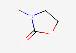 O=C1OCCN1[S]